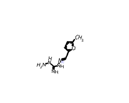 Cc1ccc(/C=N/NC(=N)NN)o1